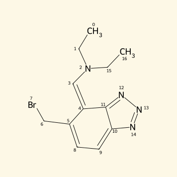 CCN(C=c1c(CBr)ccc2c1=NN=N2)CC